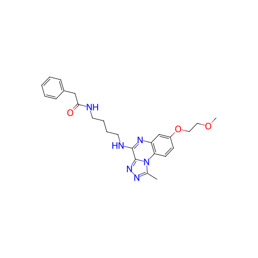 COCCOc1ccc2c(c1)nc(NCCCCNC(=O)Cc1ccccc1)c1nnc(C)n12